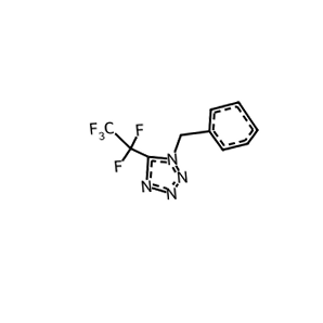 FC(F)(F)C(F)(F)c1nnnn1Cc1ccccc1